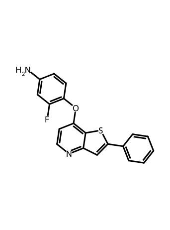 Nc1ccc(Oc2ccnc3cc(-c4ccccc4)sc23)c(F)c1